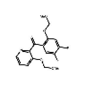 COCOc1cc(F)c(F)cc1C(=O)c1ncccc1OCOC